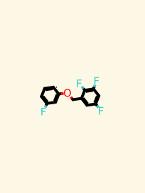 Fc1cc[c]c(OCc2cc(F)cc(F)c2F)c1